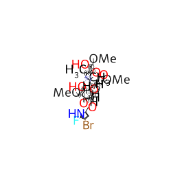 COC[C@@H]1[C@@H](O)[C@@H]2[C@H]3C=C[C@@H]4[C@@H](COC)C(=O)O[C@H]([C@H](O)COC)[C@H](C)/C=C(\C)[C@@]24O[C@H]3[C@@H]1OC(=O)c1cc(Br)c(F)[nH]1